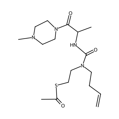 C=CCCN(CCSC(C)=O)C(=O)NC(C)C(=O)N1CCN(C)CC1